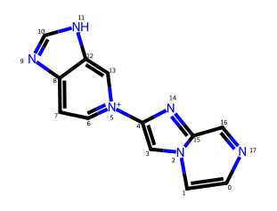 c1cn2cc(-[n+]3ccc4nc[nH]c4c3)nc2cn1